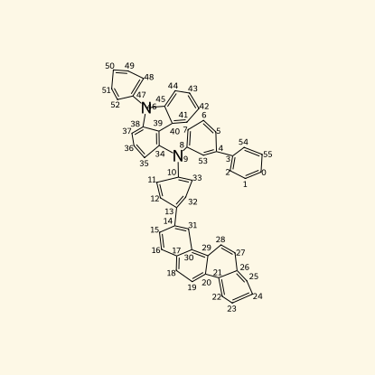 c1ccc(-c2cccc(N(c3ccc(-c4ccc5ccc6c7ccccc7ccc6c5c4)cc3)c3cccc4c3c3ccccc3n4-c3ccccc3)c2)cc1